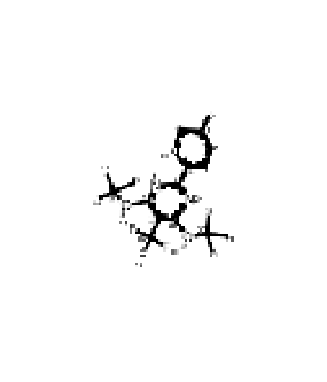 Cc1ccc(-c2nc(OC(C)(C)C)c(C(F)(F)F)c(OC(C)(C)C)n2)nc1